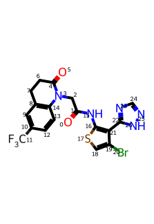 O=C(CN1C(=O)CCc2cc(C(F)(F)F)ccc21)Nc1scc(Br)c1-c1ncn[nH]1